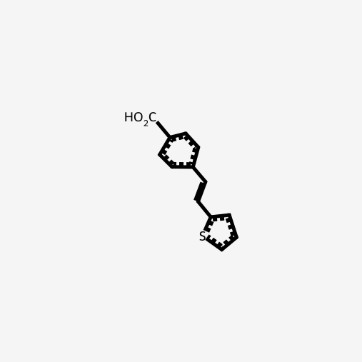 O=C(O)c1ccc(C=Cc2cccs2)cc1